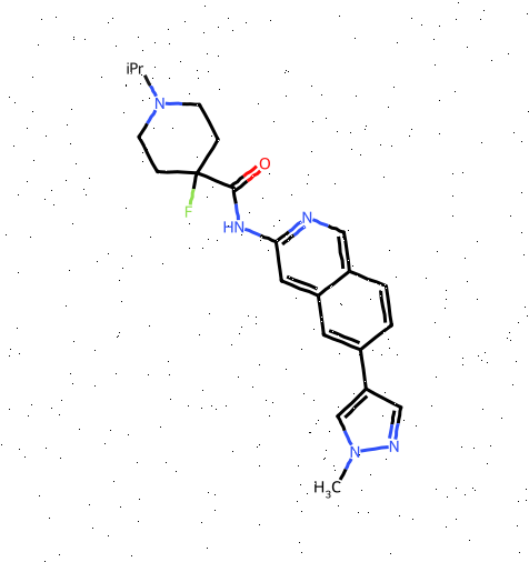 CC(C)N1CCC(F)(C(=O)Nc2cc3cc(-c4cnn(C)c4)ccc3cn2)CC1